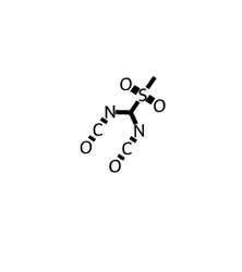 CS(=O)(=O)C(N=C=O)N=C=O